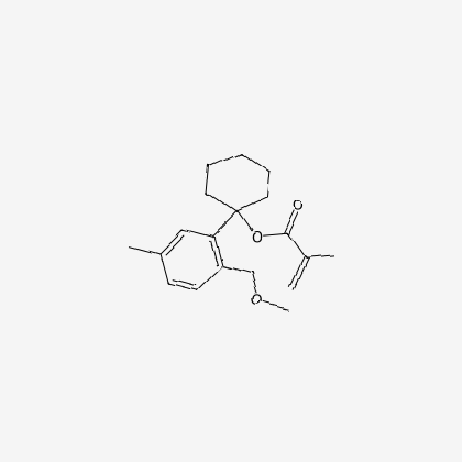 C=C(C)C(=O)OC1(c2cc(C)ccc2COC)CCCCC1